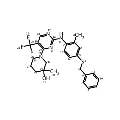 Cc1cc(SCc2ccccc2)ccc1Nc1ncc(C(F)(F)F)c(N2CCCC(C)(O)C2)n1